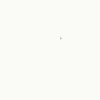 [He].c1ccoc1